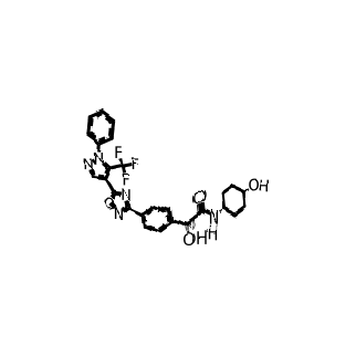 O=C(N[C@H]1CC[C@H](O)CC1)[C@H](O)c1ccc(-c2noc(-c3cnn(-c4ccccc4)c3C(F)(F)F)n2)cc1